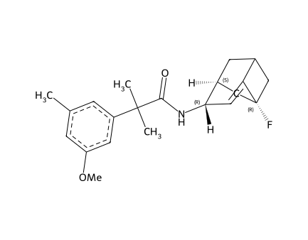 COc1cc(C)cc(C(C)(C)C(=O)N[C@H]2C=C3C4C[C@H]2C[C@]3(F)C4)c1